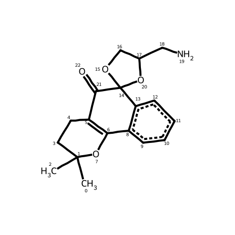 CC1(C)CCC2=C(O1)c1ccccc1C1(OCC(CN)O1)C2=O